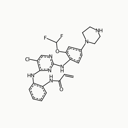 C=CC(=O)Nc1ccccc1Nc1nc(Nc2ccc(N3CCNCC3)cc2OC(F)F)ncc1Cl